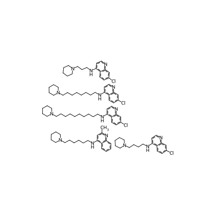 Cc1cc(NCCCCCCN2CCCCC2)c2ccccc2n1.Clc1ccc2c(NCCCCCCCCCCN3CCCCC3)ccnc2c1.Clc1ccc2c(NCCCCCCCCN3CCCCC3)ccnc2c1.Clc1ccc2c(NCCCCN3CCCCC3)ccnc2c1.Clc1ccc2c(NCCCN3CCCCC3)ccnc2c1